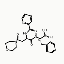 O=C(NC(CC(=O)N1CCOCC1)C(=O)N[C@@H](Cc1ccccc1)B(O)O)c1cnccn1